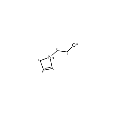 [O]CCN1C=CC1